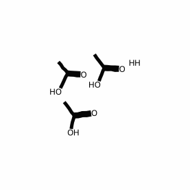 CC(=O)O.CC(=O)O.CC(=O)O.[HH]